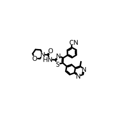 Cc1ncnc2ccc(-c3sc(NC(=O)N4CCCOC4)nc3-c3cccc(C#N)c3)cc12